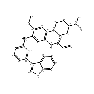 C=CC(=O)Nc1cc(Nc2nccc(-c3noc4ccccc34)n2)c(OC)cc1N1CCC(N(C)C)CC1